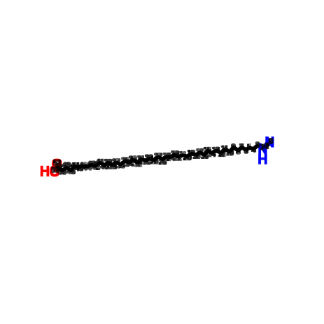 N#CNCCCCCCCCCCCCCCCCCCCCCCCCCCCCCCCCCCCCCCCCCCCCCCCCC(=O)O